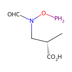 C[C@@H](CN(C=O)OP)C(=O)O